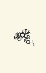 COC(=O)c1cc(S(=O)(=O)Cl)ccc1C(F)(F)F